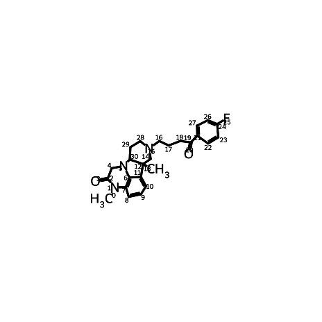 CN1C(=O)CN2c3c1cccc3C1(C)CN(CCCC(=O)c3ccc(F)cc3)CCC21